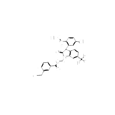 COc1ccc(Cl)cc1[C@]1(F)C(=O)N(COC(=O)c2cccc(CCl)c2)c2cc(C(F)(F)F)ccc21